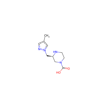 Cc1cnn(C[C@@H]2CN(C(=O)O)CCN2)c1